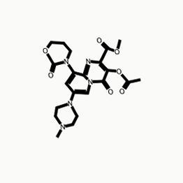 COC(=O)c1nc2c(N3CCCOC3=O)cc(N3CCN(C)CC3)cn2c(=O)c1OC(C)=O